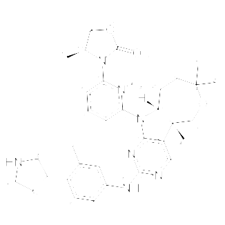 Cc1cc(Nc2ncc3c(n2)N(c2cccc(N4C(=O)OC[C@@H]4C)n2)[C@@H]2CCC(C)(C)OC[C@]32C)ccc1[C@@H]1CCNC1